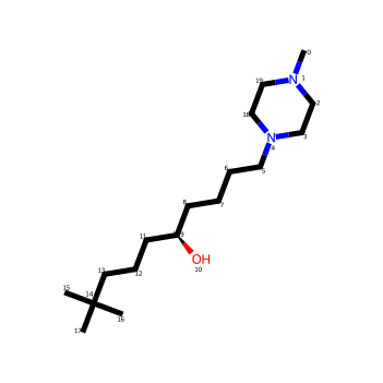 CN1CCN(CCCC[C@@H](O)CCCC(C)(C)C)CC1